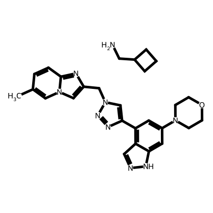 Cc1ccc2nc(Cn3cc(-c4cc(N5CCOCC5)cc5[nH]ncc45)nn3)cn2c1.NCC1CCC1